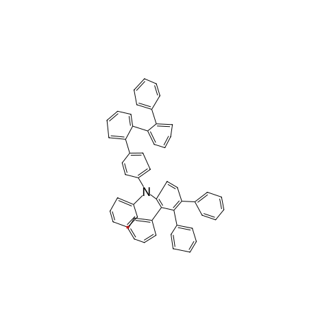 c1ccc(-c2ccccc2-c2ccccc2-c2ccc(N(c3ccccc3)c3ccc(-c4ccccc4)c(-c4ccccc4)c3-c3ccccc3)cc2)cc1